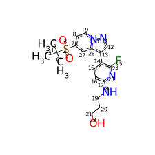 CC(C)(C)S(=O)(=O)c1ccn2ncc(-c3ccc(NCCCO)nc3F)c2c1